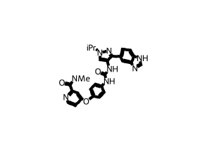 CNC(=O)c1cc(Oc2ccc(NC(=O)Nc3cn(C(C)C)nc3-c3ccc4[nH]cnc4c3)cc2)ccn1